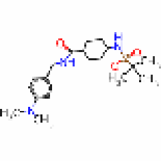 CN(C)c1ccc(CNC(=O)C2CCC(NS(=O)(=O)C(C)(C)C)CC2)cc1